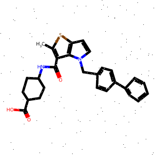 Cc1sc2ccn(Cc3ccc(-c4ccccc4)cc3)c2c1C(=O)NC1CCC(C(=O)O)CC1